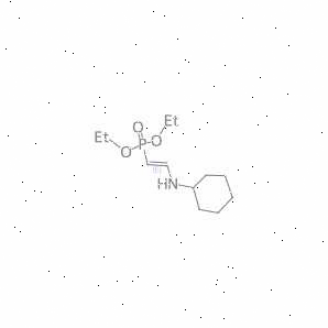 CCOP(=O)(/C=C/NC1CCCCC1)OCC